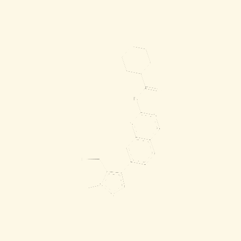 Cn1ncc(-c2ccc3cnc(NC(=O)C4CCOCC4)nc3c2)c1CO